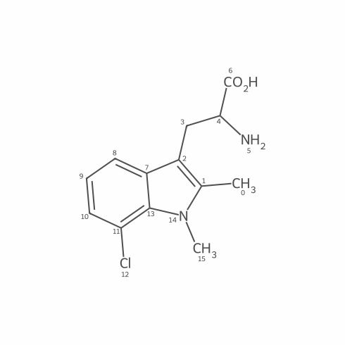 Cc1c(CC(N)C(=O)O)c2cccc(Cl)c2n1C